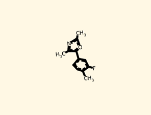 Cc1nc(C)c(-c2ccc(C)c(F)c2)o1